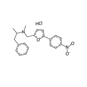 CC(Cc1ccccc1)N(C)Cc1ccc(-c2ccc([N+](=O)[O-])cc2)o1.Cl